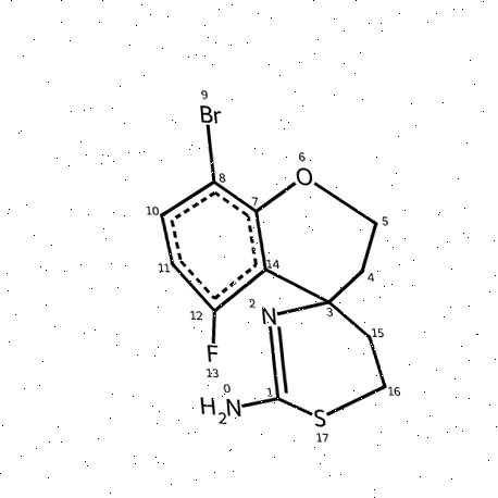 NC1=NC2(CCOc3c(Br)ccc(F)c32)CCS1